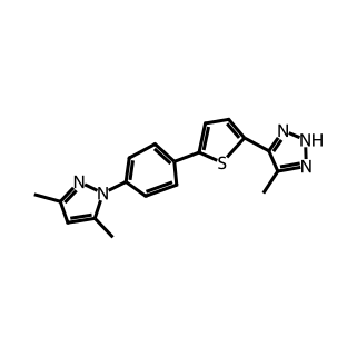 Cc1cc(C)n(-c2ccc(-c3ccc(-c4n[nH]nc4C)s3)cc2)n1